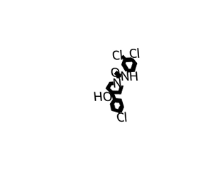 O=C(Nc1ccc(Cl)c(Cl)c1)N1CCC(O)(c2ccc(Cl)cc2)CC1